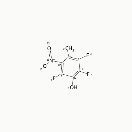 Cc1c(F)c(F)c(O)c(F)c1[N+](=O)[O-]